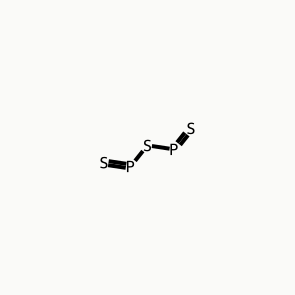 S=PSP=S